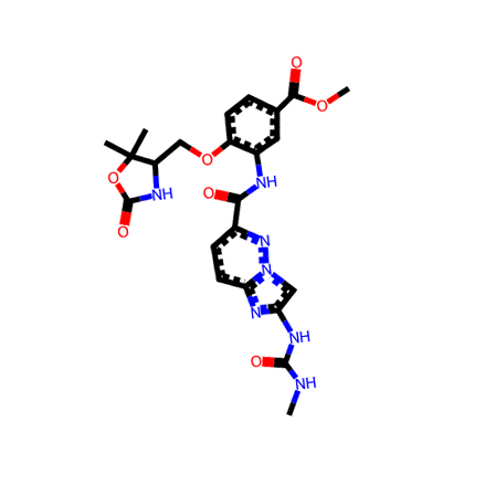 CNC(=O)Nc1cn2nc(C(=O)Nc3cc(C(=O)OC)ccc3OCC3NC(=O)OC3(C)C)ccc2n1